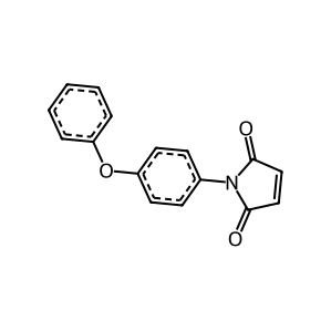 O=C1C=CC(=O)N1c1ccc(Oc2ccccc2)cc1